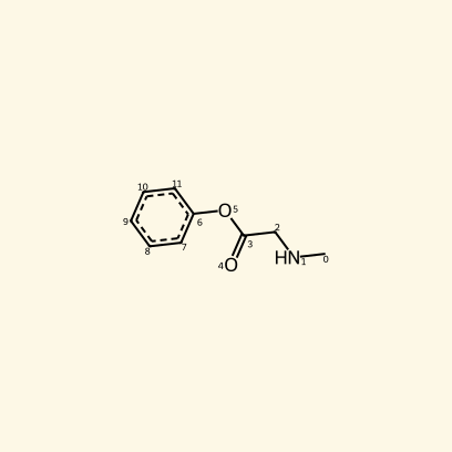 CNCC(=O)Oc1ccccc1